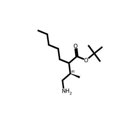 CCCCCC(C(=O)OC(C)(C)C)[C@@H](C)CN